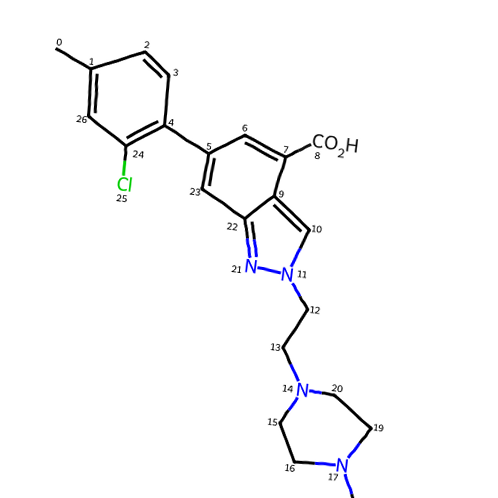 Cc1ccc(-c2cc(C(=O)O)c3cn(CCN4CCN(C)CC4)nc3c2)c(Cl)c1